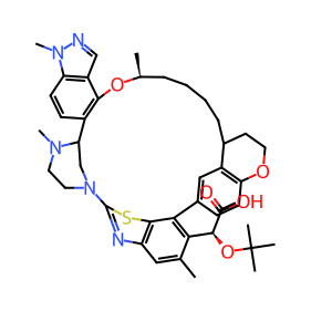 Cc1cc2nc3sc2c(c1[C@H](OC(C)(C)C)C(=O)O)-c1ccc2c(c1)C(CCCC[C@H](C)Oc1c(ccc4c1cnn4C)C1CN3CCN1C)CCO2